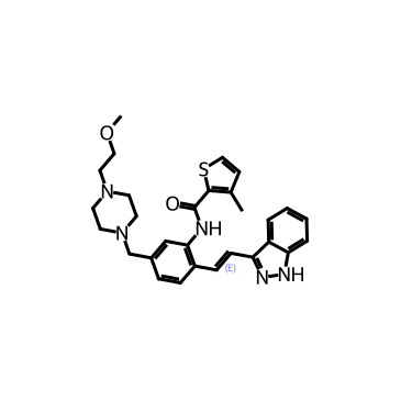 COCCN1CCN(Cc2ccc(/C=C/c3n[nH]c4ccccc34)c(NC(=O)c3sccc3C)c2)CC1